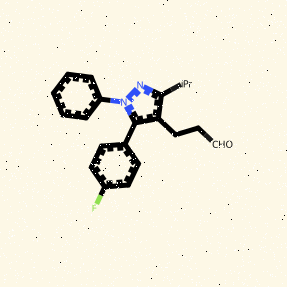 CC(C)c1nn(-c2ccccc2)c(-c2ccc(F)cc2)c1CCC=O